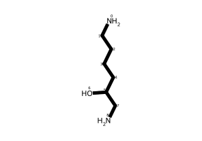 NCCCCC(O)CN